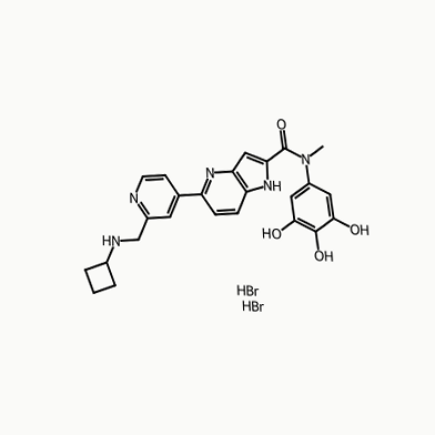 Br.Br.CN(C(=O)c1cc2nc(-c3ccnc(CNC4CCC4)c3)ccc2[nH]1)c1cc(O)c(O)c(O)c1